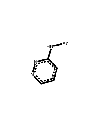 CC(=O)Nc1cc[c]nn1